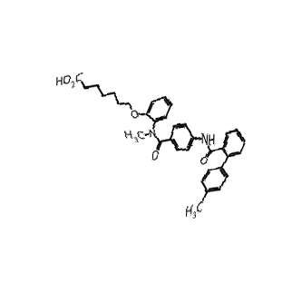 Cc1ccc(-c2ccccc2C(=O)Nc2ccc(C(=O)N(C)c3ccccc3OCCCCCCC(=O)O)cc2)cc1